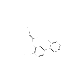 CO/C=C(\C)Oc1cc(-c2ccccc2F)ccc1C